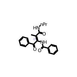 CCCNC(=O)/C(C)=C(\NC(=O)c1ccccc1)C(=O)c1ccccc1